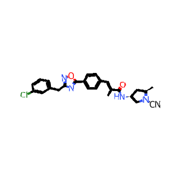 C/C(=C\c1ccc(-c2nc(Cc3cccc(Cl)c3)no2)cc1)C(=O)N[C@@H]1C[C@@H](C)N(C#N)C1